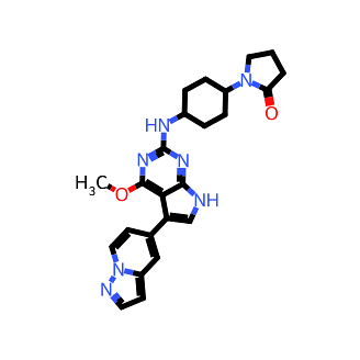 COc1nc(NC2CCC(N3CCCC3=O)CC2)nc2[nH]cc(-c3ccn4nccc4c3)c12